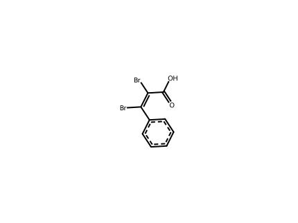 O=C(O)/C(Br)=C(/Br)c1ccccc1